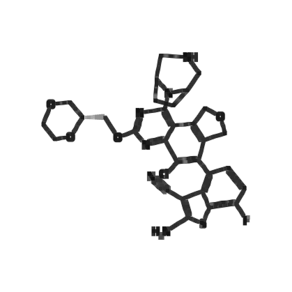 N#Cc1c(N)sc2c(F)ccc(-c3c4c(c5c(N6C7CCC6CNC7)nc(OC[C@H]6COCCO6)nc5c3Cl)COC4)c12